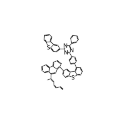 C=C/C=C\C=C(/C)c1cc2c(-c3ccc4sc5cccc(-c6ccc(-c7nc(-c8ccccc8)nc(-c8ccc9sc%10ccccc%10c9c8)n7)cc6)c5c4c3)cccc2c2ccccc12